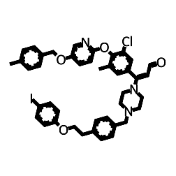 Cc1ccc(COc2ccc(Oc3c(C)cc(/C(=C\C=O)N4CCN(Cc5ccc(CCOc6ccc(I)cc6)cc5)CC4)cc3Cl)nc2)cc1